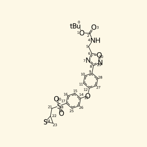 CC(C)(C)OC(=O)NCc1nc(-c2ccc(Oc3ccc(S(=O)(=O)CC4CS4)cc3)cc2)no1